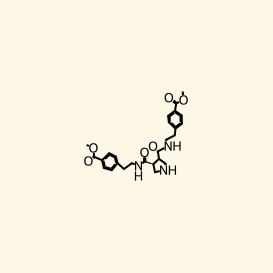 COC(=O)c1ccc(CCNC(=O)C2CNC[C@H]2C(=O)NCCc2ccc(C(=O)OC)cc2)cc1